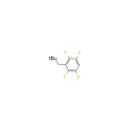 CC(C)(C)Cc1c(F)c(F)cc(F)c1F